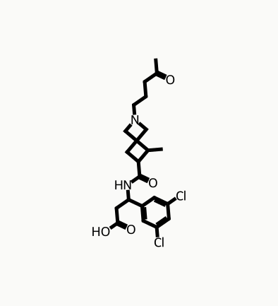 CC(=O)CCCN1CC2(CC(C(=O)NC(CC(=O)O)c3cc(Cl)cc(Cl)c3)C2C)C1